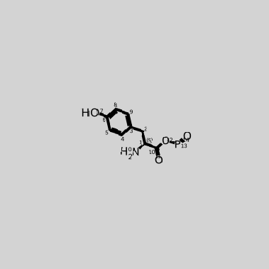 N[C@@H](Cc1ccc(O)cc1)C(=O)OP=O